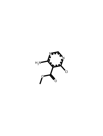 COC(=O)c1c(N)ncnc1Cl